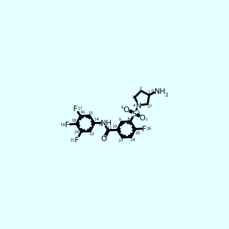 NC1CCN(S(=O)(=O)c2cc(C(=O)Nc3cc(F)c(F)c(F)c3)ccc2F)C1